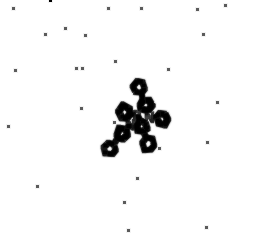 c1ccc(N2c3ccc(C4CCCCC4)cc3B3c4ccccc4N(c4ccc(C5CCCCC5)cc4)c4cc(C5CCCCC5)cc2c43)cc1